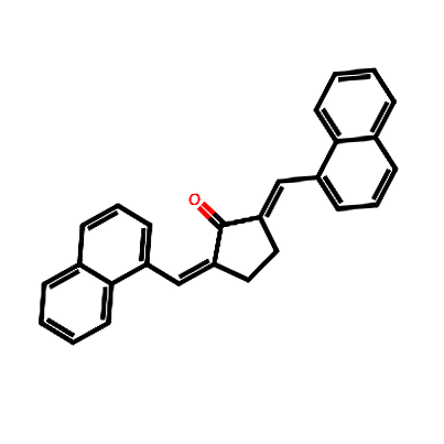 O=C1/C(=C\c2cccc3ccccc23)CC/C1=C\c1cccc2ccccc12